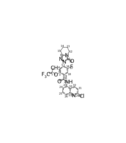 CC(Oc1cc(-n2nc3n(c2=O)CCCC3)c(F)cc1C(=O)Nc1cccc2nc(Cl)ccc12)C(F)(F)F